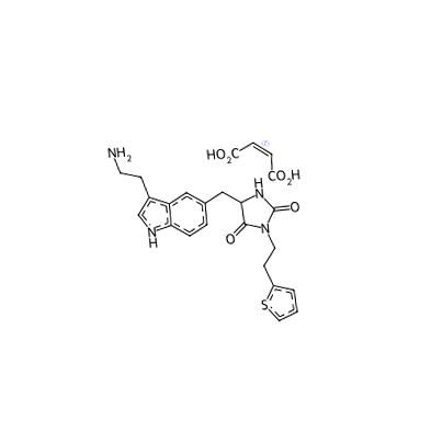 NCCc1c[nH]c2ccc(CC3NC(=O)N(CCc4cccs4)C3=O)cc12.O=C(O)/C=C\C(=O)O